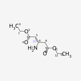 CCOC(=O)/C=C(\N)CC(=O)OCC